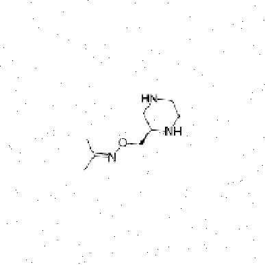 CC(C)=NOC[C@H]1CNCCN1